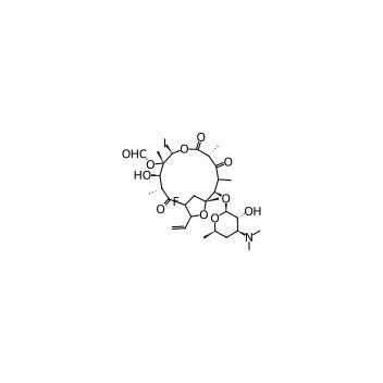 C=CC1O[C@]2(C)C[C@]1(F)C(=O)[C@H](C)[C@@H](O)[C@](C)(OC=O)[C@@H](I)OC(=O)[C@H](C)C(=O)C(C)[C@H]2O[C@@H]1O[C@H](C)C[C@H](N(C)C)[C@H]1O